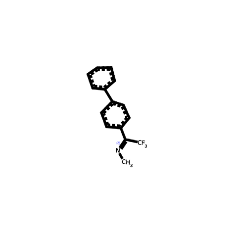 C/N=C(/c1ccc(-c2ccccc2)cc1)C(F)(F)F